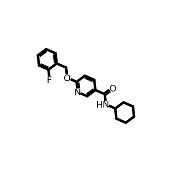 O=C(NC1CCCCC1)c1ccc(OCc2ccccc2F)nc1